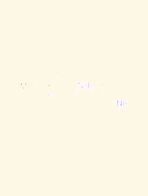 CS/C(F)=C/C(N)CC1CCNC1=O